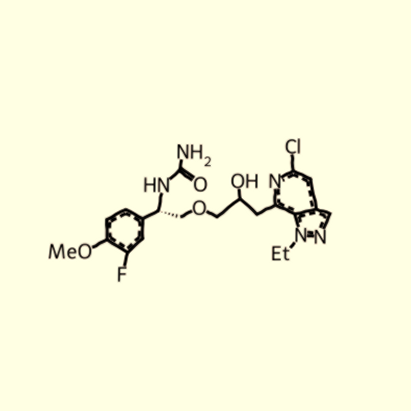 CCn1ncc2cc(Cl)nc(CC(O)COC[C@@H](NC(N)=O)c3ccc(OC)c(F)c3)c21